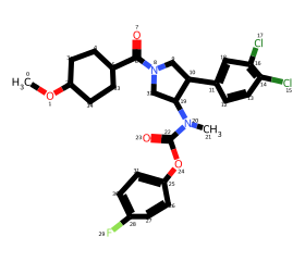 COC1CCC(C(=O)N2CC(c3ccc(Cl)c(Cl)c3)C(N(C)C(=O)Oc3ccc(F)cc3)C2)CC1